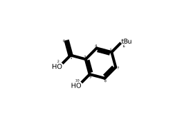 C=C(O)c1cc(C(C)(C)C)ccc1O